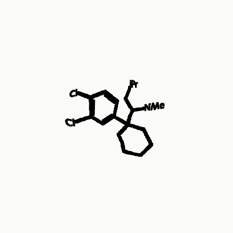 CNC(CC(C)C)C1(c2ccc(Cl)c(Cl)c2)CCCCC1